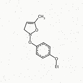 CCOc1ccc(ON2CC=C(C)O2)cc1